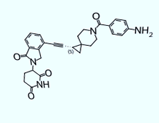 Nc1ccc(C(=O)N2CCC3(CC2)C[C@@H]3C#Cc2cccc3c2CN(C2CCC(=O)NC2=O)C3=O)cc1